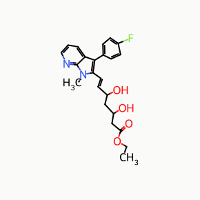 CCOC(=O)CC(O)CC(O)/C=C/c1c(-c2ccc(F)cc2)c2cccnc2n1C